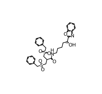 O=C(NCCCC[C@H](O)c1nc2ccccc2o1)C(CS(=O)(=O)Cc1ccccc1)CS(=O)(=O)Cc1ccccc1